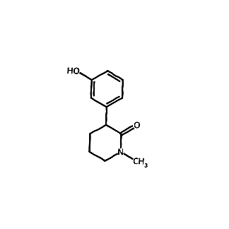 CN1CCCC(c2cccc(O)c2)C1=O